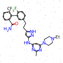 CCN1CCN(c2cc(Nc3cc(CCc4ccc(F)c(-c5c(C(N)=O)cccc5C(F)(F)F)c4)[nH]n3)nc(C)n2)CC1